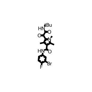 Cc1c(C(=O)Nc2ccc(F)c(Br)c2)c(C)n(C)c1C(=O)C(=O)NC(C)(C)C